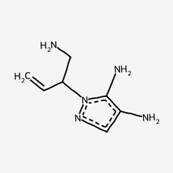 C=CC(CN)n1ncc(N)c1N